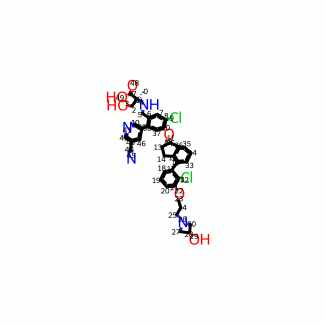 C[C@@](CO)(NCc1cc(Cl)c(O[C@H]2CCc3c(-c4cccc(OCCCN5CC(O)C5)c4Cl)cccc32)cc1-c1cncc(C#N)c1)C(=O)O